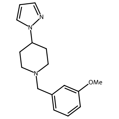 COc1cccc(CN2CCC(n3cccn3)CC2)c1